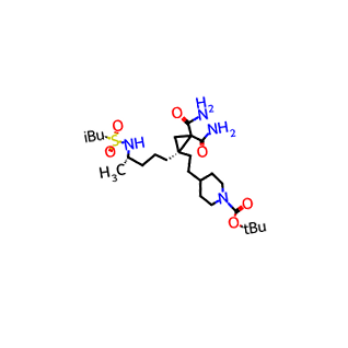 CC[C@H](C)S(=O)(=O)N[C@@H](C)CCC[C@]1(CCC2CCN(C(=O)OC(C)(C)C)CC2)CC1(C(N)=O)C(N)=O